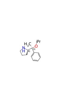 CC(C)O[C@@](C)(c1ccccc1)[C@H]1CCCN1